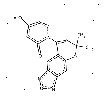 CC(=O)Oc1ccn(C2=CC(C)(C)Oc3cc4nonc4cc32)c(=O)c1